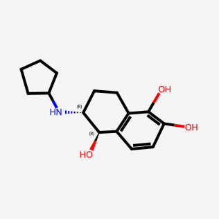 Oc1ccc2c(c1O)CC[C@@H](NC1CCCC1)[C@@H]2O